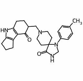 Cc1ccc(N2CNC(=O)C23CCN(CC2CCc4[nH]c5c(c4C2=O)CCC5)CC3)cc1